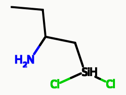 CCC(N)C[SiH](Cl)Cl